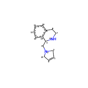 C1=CCN(CC2NCCc3ccccc32)C1